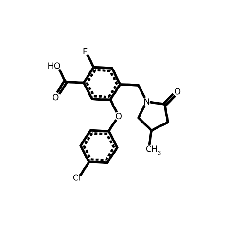 CC1CC(=O)N(Cc2cc(F)c(C(=O)O)cc2Oc2ccc(Cl)cc2)C1